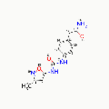 Cc1cc(NC(=O)Nc2ccc(CC(N)=O)cc2)on1